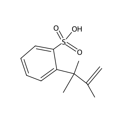 C=C(C)C(C)(C)c1ccccc1S(=O)(=O)O